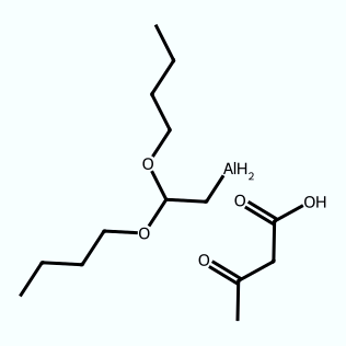 CC(=O)CC(=O)O.CCCCOC([CH2][AlH2])OCCCC